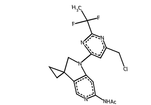 CC(=O)Nc1cc2c(cn1)C1(CC1)CN2c1cc(CCl)nc(C(C)(F)F)n1